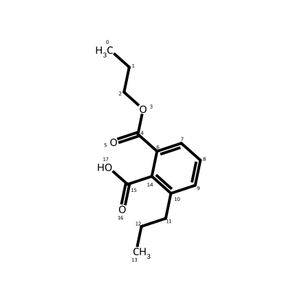 CCCOC(=O)c1cccc(CCC)c1C(=O)O